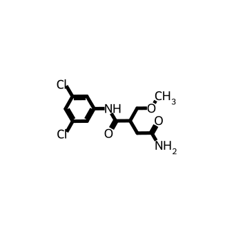 COCC(CC(N)=O)C(=O)Nc1cc(Cl)cc(Cl)c1